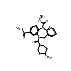 COC(=O)c1ccc2c(c1)N(C(=O)C1CCC(OC)CC1)Cc1cccnc1N2C(=O)OC(C)(C)C